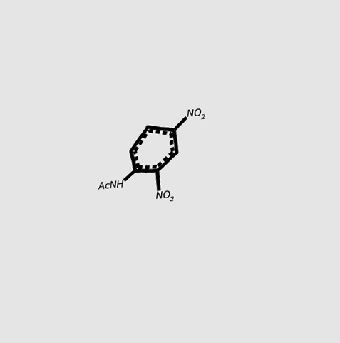 CC(=O)Nc1ccc([N+](=O)[O-])cc1[N+](=O)[O-]